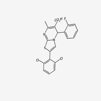 CC1=C(C(=O)O)C(c2ccccc2F)N2C=C(c3c(Cl)cccc3Cl)SC2=N1